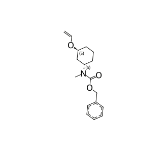 C=CO[C@H]1CCC[C@H](N(C)C(=O)OCc2ccccc2)C1